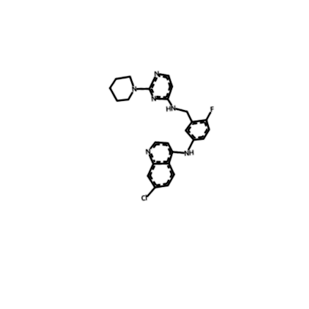 Fc1ccc(Nc2ccnc3cc(Cl)ccc23)cc1CNc1ccnc(N2CCCCC2)n1